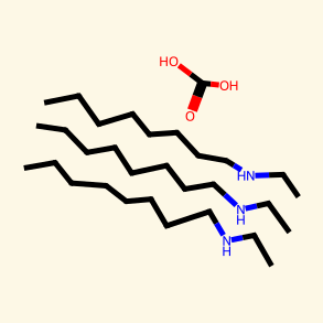 CCCCCCCCNCC.CCCCCCCCNCC.CCCCCCCCNCC.O=C(O)O